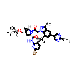 CC(=O)c1nn(CC(=O)N2[C@H](C(=O)Nc3nc(Br)ccc3C)C[C@@]3(CO[Si](C)(C)C(C)(C)C)C[C@@H]23)c2c(C)cc(-c3cnc(C)nc3)cc12